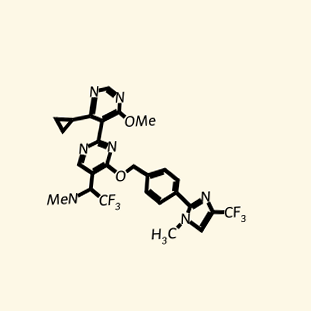 CNC(c1cnc(-c2c(OC)ncnc2C2CC2)nc1OCc1ccc(-c2nc(C(F)(F)F)cn2C)cc1)C(F)(F)F